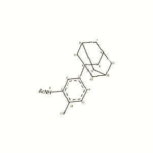 CC(=O)Nc1cc(C23CC4CC(CC(C4)C2)C3)ccc1C